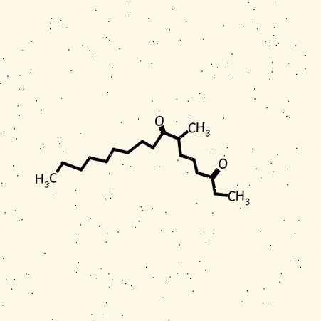 CCCCCCCCCC(=O)C(C)CCCC(=O)CC